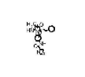 CN1C(=N)N[C@](CCC2CCCCC2)(C[C@H]2CCC[C@@H](NC(=O)c3cscn3)C2)C1=O